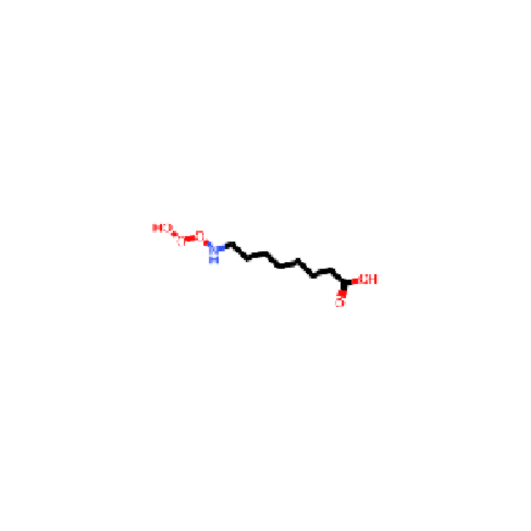 O=C(O)CCCCCCCNOOO